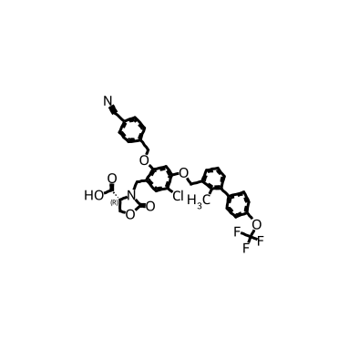 Cc1c(COc2cc(OCc3ccc(C#N)cc3)c(CN3C(=O)OC[C@@H]3C(=O)O)cc2Cl)cccc1-c1ccc(OC(F)(F)F)cc1